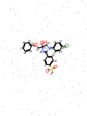 CS(=O)(=O)c1ccc(C2=NC(O)(COc3ccccc3)CN2c2ccc(Cl)cc2)cc1